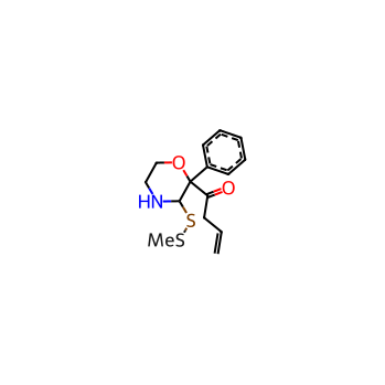 C=CCC(=O)C1(c2ccccc2)OCCNC1SSC